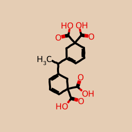 CC(C1=CC=CC(C(=O)O)(C(=O)O)C1)C1=CC=CC(C(=O)O)(C(=O)O)C1